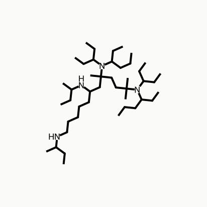 CCCC(CC)N(C(CC)CC)C(C)(C)CCC(C)(CC(CCCCCNC(C)CC)NC(C)CC)N(C(CC)CC)C(CC)CCC